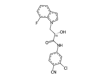 N#Cc1ccc(NC(=O)[C@@H](O)Cn2ccc3cccc(F)c32)cc1Cl